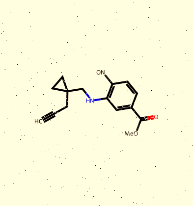 C#CCC1(CNc2cc(C(=O)OC)ccc2N=O)CC1